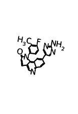 Cc1cc(-n2c(=O)ccc3cnc4ccc(-c5cnc(N)nc5)cc4c32)ccc1F